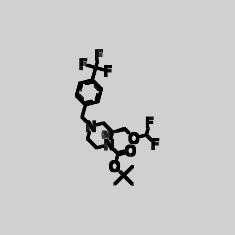 CC(C)(C)OC(=O)N1CCN(Cc2ccc(C(F)(F)F)cc2)C[C@H]1COC(F)F